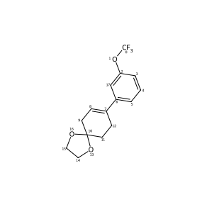 FC(F)(F)Oc1cccc(C2=CCC3(CC2)OCCO3)c1